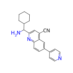 N#Cc1cc(C(N)C2CCCCC2)nc2ccc(-c3ccncc3)cc12